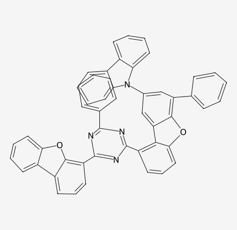 c1ccc(-c2nc(-c3cccc4c3oc3ccccc34)nc(-c3cccc4oc5c(-c6ccccc6)cc(-n6c7ccccc7c7ccccc76)cc5c34)n2)cc1